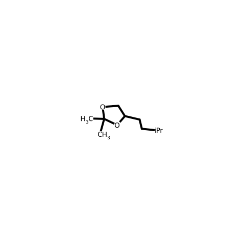 CC(C)CCC1COC(C)(C)O1